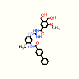 COc1cc(C(=O)NC(=N)Nc2ccc(C)c(NC(=O)c3ccc(-c4ccccc4)cc3)c2)cc(CO)c1CO